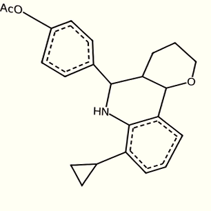 CC(=O)Oc1ccc(C2Nc3c(C4CC4)cccc3C3OCCCC23)cc1